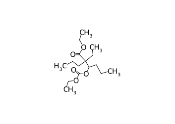 CCCC(OC(=O)OCC)C(CC)(CCC)C(=O)OCC